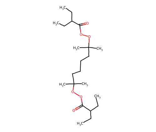 CCC(CC)C(=O)OOC(C)(C)CCCCC(C)(C)OOC(=O)C(CC)CC